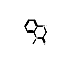 CN1C(=O)CNc2ccccc21